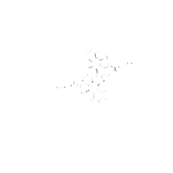 COC(=O)Nc1ccc(-c2ccc(NC(=O)OC)c3c2C(=O)c2ccccc2C3=O)c2c1C(=O)c1ccccc1C2=O